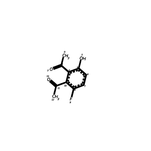 CC(=O)c1c(O)ccc(F)c1C(C)=O